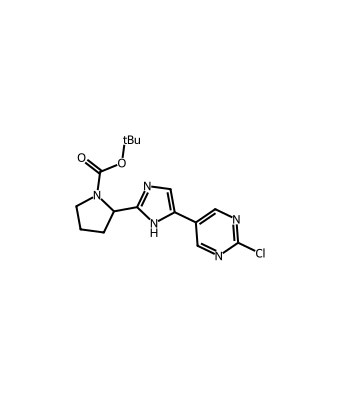 CC(C)(C)OC(=O)N1CCCC1c1ncc(-c2cnc(Cl)nc2)[nH]1